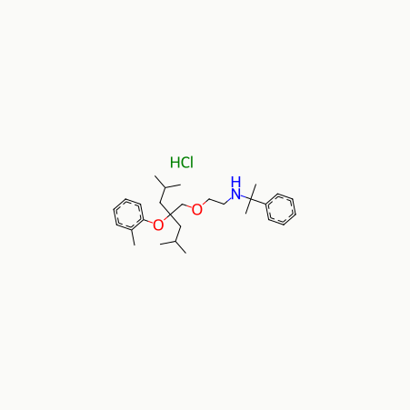 Cc1ccccc1OC(COCCNC(C)(C)c1ccccc1)(CC(C)C)CC(C)C.Cl